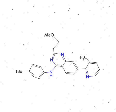 COCCc1nc(Nc2ccc(C(C)(C)C)cc2)c2ccc(-c3ncccc3C(F)(F)F)cc2n1